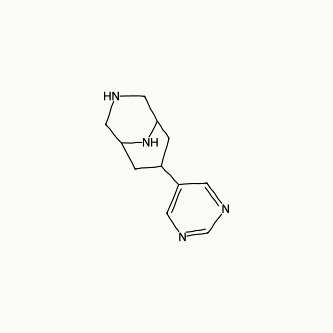 c1ncc(C2CC3CNCC(C2)N3)cn1